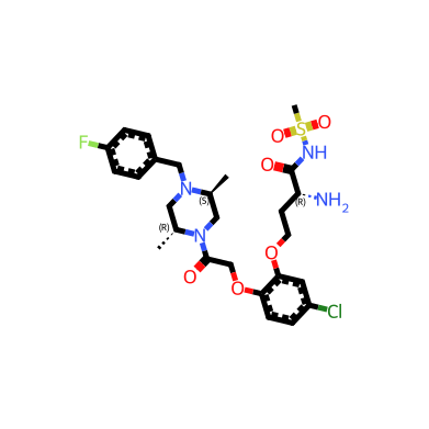 C[C@@H]1CN(Cc2ccc(F)cc2)[C@@H](C)CN1C(=O)COc1ccc(Cl)cc1OCC[C@@H](N)C(=O)NS(C)(=O)=O